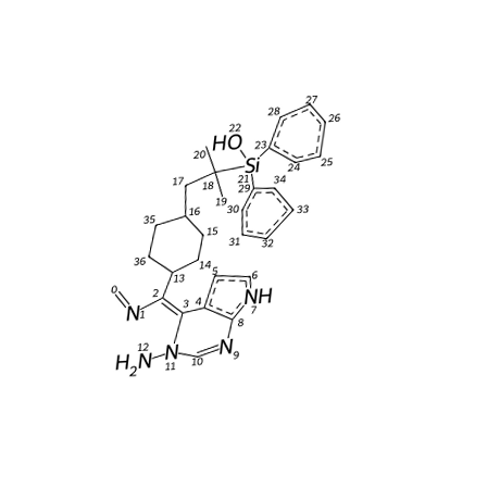 C=N/C(=C1/c2cc[nH]c2N=CN1N)C1CCC(CC(C)(C)[Si](O)(c2ccccc2)c2ccccc2)CC1